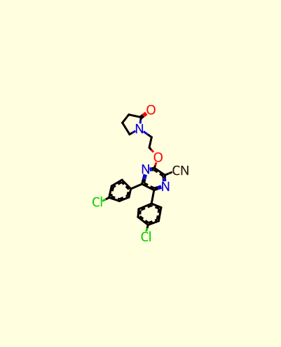 N#Cc1nc(-c2ccc(Cl)cc2)c(-c2ccc(Cl)cc2)nc1OCCN1CCCC1=O